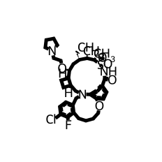 C=C[C@H]1C[C@H](OCCN2CCCC2)[C@@H]2CC[C@H]2CN2Cc3ccc(Cl)c(F)c3CCCCOc3ccc(cc32)C(=O)NS(=O)(=O)[C@H](C)[C@H]1C